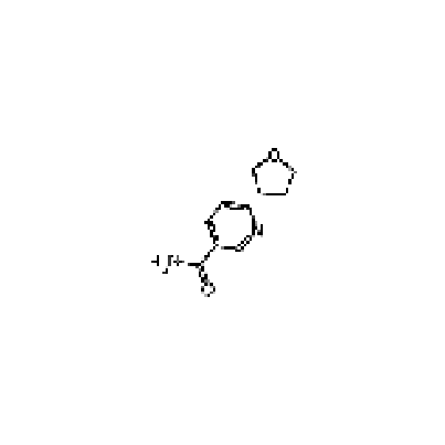 C1CCOC1.NC(=O)c1cccnc1